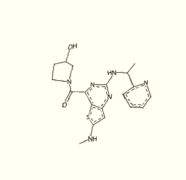 CNc1cc2nc(NC(C)c3ccccn3)nc(C(=O)N3CCC(O)C3)c2s1